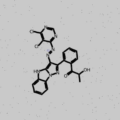 CC(O)C(=O)c1ccccc1-c1nn2c([nH]c3ccccc32)c1/N=N/c1ncnc(Cl)c1Cl